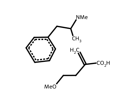 C=C(CCOC)C(=O)O.CNC(C)Cc1ccccc1